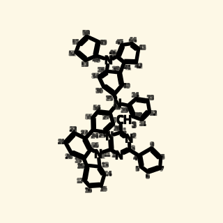 Cc1nc(-c2ccccc2)nc(-n2c3ccccc3c3cccc(-c4ccc(N(c5ccccc5)c5ccc6c(c5)c5ccccc5n6-c5ccccc5)cc4)c32)n1